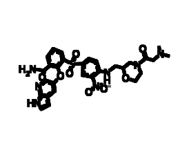 CN(C)CC(=O)N1CCOC(CNc2ccc(S(=O)(=O)c3cccc(C(N)=O)c3Oc3cnc4[nH]ccc4c3)cc2[N+](=O)[O-])C1